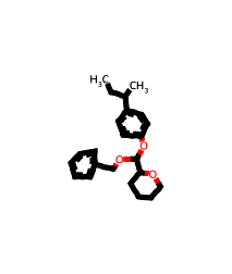 CCC(C)c1ccc(OC(OCc2ccccc2)C2CCCCO2)cc1